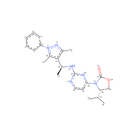 Cc1nn(-c2ccccc2)c(C)c1[C@H](C)Nc1nccc(N2C(=O)OC[C@@H]2C(C)C)n1